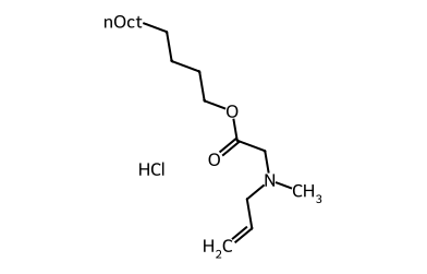 C=CCN(C)CC(=O)OCCCCCCCCCCCC.Cl